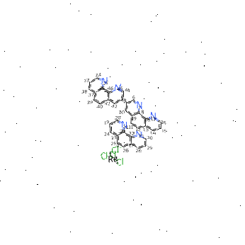 [Cl-].[Cl-].[Cl][Ru][Cl].c1cnc2c(c1)ccc1cccnc12.c1cnc2c(c1)ccc1cccnc12.c1cnc2c(c1)ccc1cccnc12